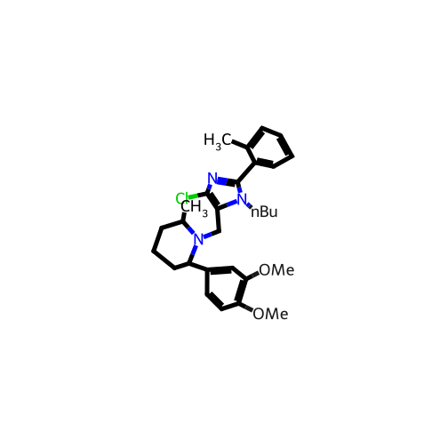 CCCCn1c(-c2ccccc2C)nc(Cl)c1CN1C(C)CCCC1c1ccc(OC)c(OC)c1